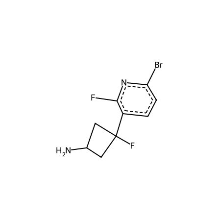 NC1CC(F)(c2ccc(Br)nc2F)C1